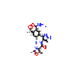 NC(=O)c1cc(-c2n[nH]cc2NC(=O)c2cocn2)ccc1CO